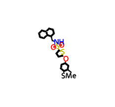 CSc1ccc(Oc2ccc(S(=O)(=O)NCc3cccc4ccccc34)s2)cc1C